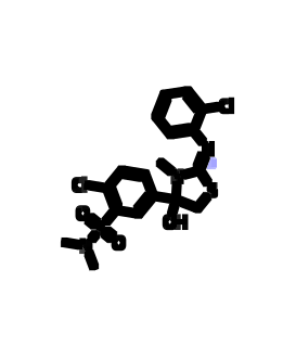 CN1/C(=N\c2ccccc2Cl)SCC1(O)c1ccc(Cl)c(S(=O)(=O)N(C)C)c1